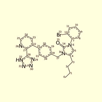 CCCCc1cn(-c2ccccc2Br)c(=O)n1Cc1ccc(-c2cccnc2-c2nnn[nH]2)cc1